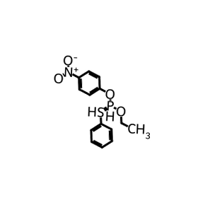 CCO[PH](Oc1ccc([N+](=O)[O-])cc1)=[SH]c1ccccc1